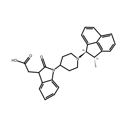 C[C@H]1c2cccc3cccc(c23)[C@@H]1N1CCC(N2C(=O)C(CC(=O)O)c3ccccc32)CC1